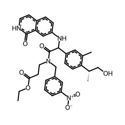 CCOC(=O)CCN(Cc1cccc([N+](=O)[O-])c1)C(=O)C(Nc1ccc2cc[nH]c(=O)c2c1)c1ccc([C@@H](C)CO)c(C)c1